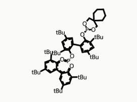 CC(C)(C)c1cc(-c2cc(C(C)(C)C)cc(C(C)(C)C)c2Op2oc3c(C(C)(C)C)cc(C(C)(C)C)cc3c3cc(C(C)(C)C)cc(C(C)(C)C)c3o2)c(OP2OCC3(CCCCC3)CO2)c(C(C)(C)C)c1